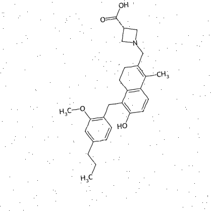 CCCc1ccc(Cc2c(O)ccc3c2CCC(CN2CC(C(=O)O)C2)=C3C)c(OC)c1